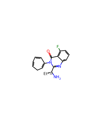 CC[C@H](N)c1nc2cccc(F)c2c(=O)n1C1=CCC=CC=C1